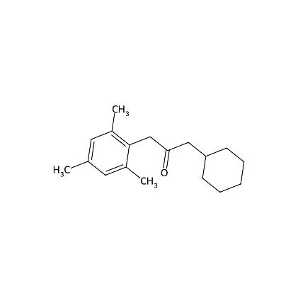 Cc1cc(C)c(CC(=O)CC2CCCCC2)c(C)c1